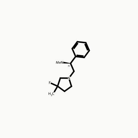 CN[C@H](CN1CCC(C)(F)C1)c1ccccc1